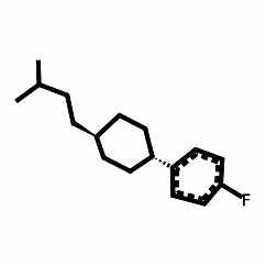 CC(C)CC[C@H]1CC[C@H](c2ccc(F)cc2)CC1